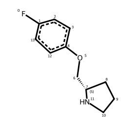 Fc1ccc(OC[C@@H]2CCCN2)cc1